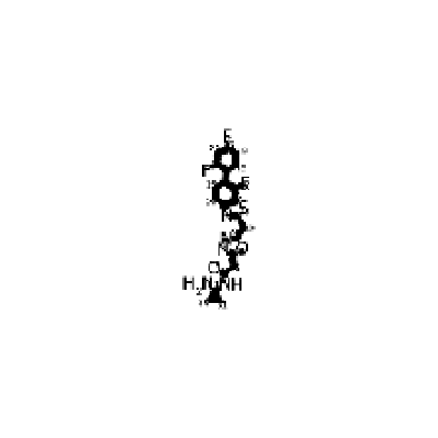 NC1(NC(=O)Cc2nnc(Cc3nc4ccc(-c5ccc(F)cc5F)c(F)c4s3)o2)CC1